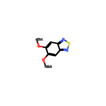 CCCCCCCCOc1cc2nsnc2cc1OCCCCCCCC